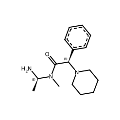 C[C@@H](N)N(C)C(=O)[C@@H](c1ccccc1)N1CCCCC1